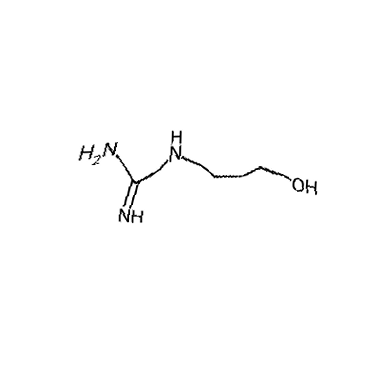 N=C(N)NCCO